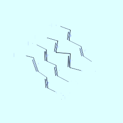 C/C=C/C=C/C(=O)[O-].C/C=C/C=C/C(=O)[O-].C/C=C/C=C/C(=O)[O-].C/C=C/C=C/C(=O)[O-].[Zr+4]